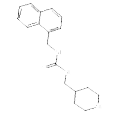 S=C(NCc1cccc2ccccc12)NCC1CCNCC1